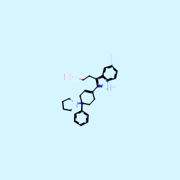 OCCc1c(C2=CCC(c3ccccc3)(N3CCCC3)CC2)[nH]c2ccc(F)cc12